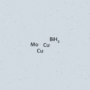 [BiH3].[Cu].[Cu].[Mo]